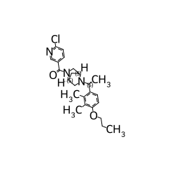 CCCOc1ccc([C@H](C)N2C[C@@H]3C[C@H]2CN3C(=O)c2ccc(Cl)nc2)c(C)c1C